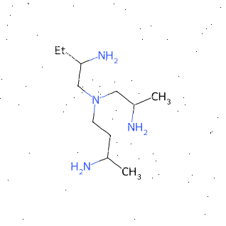 CCC(N)CN(CCC(C)N)CC(C)N